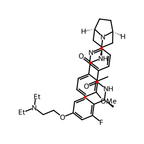 CCN(CC)CCOc1ccc([C@H](C)NC(=O)c2ccc(N3[C@@H]4CC[C@H]3C[C@@H](NC(=O)c3cccc(OC)c3C)C4)nc2)c(F)c1